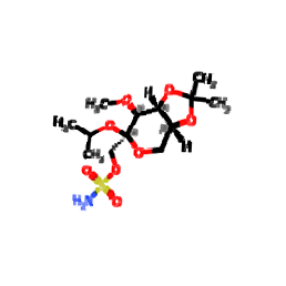 CO[C@H]1[C@@H]2OC(C)(C)O[C@@H]2CO[C@@]1(COS(N)(=O)=O)OC(C)C